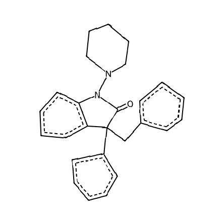 O=C1N(N2CCCCC2)c2ccccc2C1(Cc1ccccc1)c1ccccc1